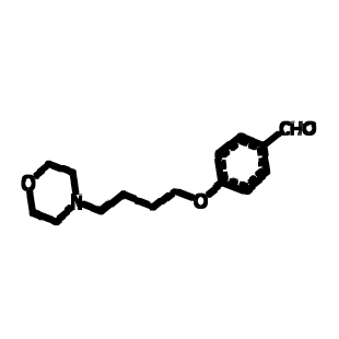 O=Cc1ccc(OCCCCN2CCOCC2)cc1